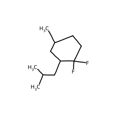 CC(C)CC1CC(C)CCC1(F)F